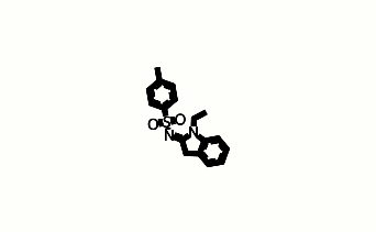 CCN1C(=NS(=O)(=O)c2ccc(C)cc2)Cc2ccccc21